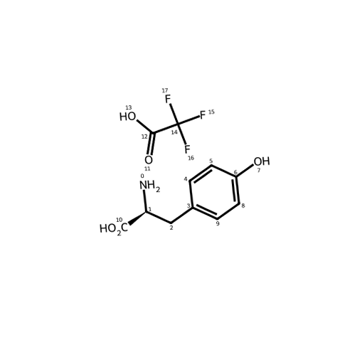 N[C@@H](Cc1ccc(O)cc1)C(=O)O.O=C(O)C(F)(F)F